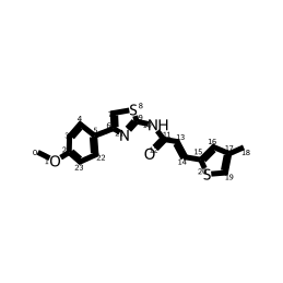 COc1ccc(-c2csc(NC(=O)C=Cc3cc(C)cs3)n2)cc1